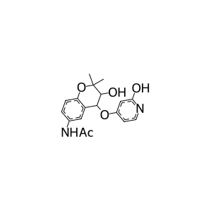 CC(=O)Nc1ccc2c(c1)C(Oc1ccnc(O)c1)C(O)C(C)(C)O2